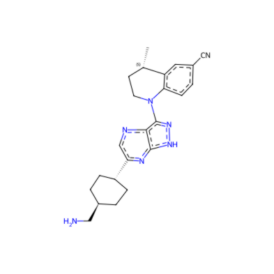 C[C@H]1CCN(c2n[nH]c3nc([C@H]4CC[C@H](CN)CC4)cnc23)c2ccc(C#N)cc21